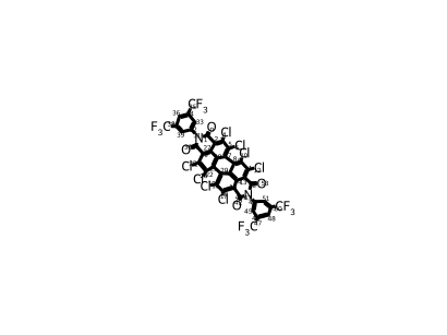 O=C1c2c(Cl)c(Cl)c3c4c(Cl)c(Cl)c5c6c(c(Cl)c(Cl)c(c7c(Cl)c(Cl)c(c2c37)C(=O)N1c1cc(C(F)(F)F)cc(C(F)(F)F)c1)c64)C(=O)N(c1cc(C(F)(F)F)cc(C(F)(F)F)c1)C5=O